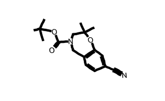 CC(C)(C)OC(=O)N1Cc2ccc(C#N)cc2OC(C)(C)C1